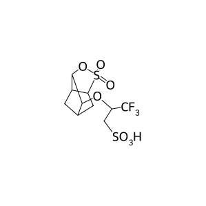 O=S(=O)(O)CC(OC1C2CC3C1OS(=O)(=O)C3C2)C(F)(F)F